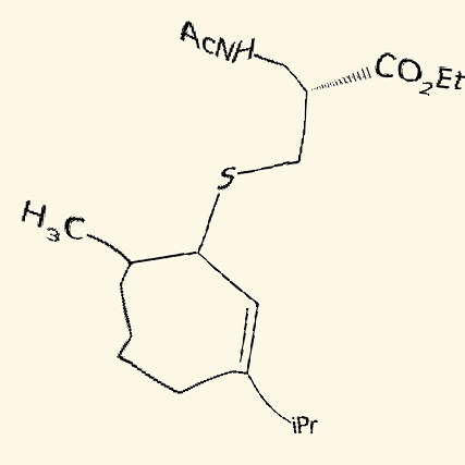 CCOC(=O)[C@H](CSC1C=C(C(C)C)CCC1C)NC(C)=O